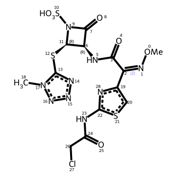 CO/N=C(\C(=O)N[C@@H]1C(=O)N(S(=O)(=O)O)[C@@H]1Sc1nnnn1C)c1csc(NC(=O)CCl)n1